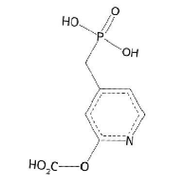 O=C(O)Oc1cc(CP(=O)(O)O)ccn1